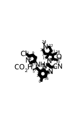 Cc1cc([C@@H](C)Nc2ccc(Cl)nc2C(=O)O)c2nc(N3CC4(CCN(C)CC4)C4COCC43)c(C#N)nc2c1